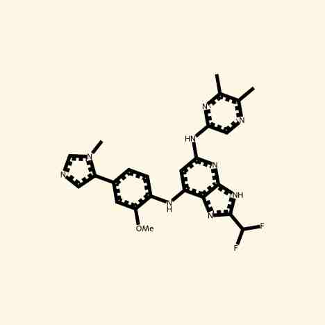 COc1cc(-c2cncn2C)ccc1Nc1cc(Nc2cnc(C)c(C)n2)nc2[nH]c(C(F)F)nc12